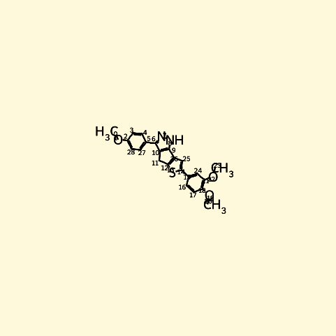 COc1ccc(-c2n[nH]c3c2Cc2sc(-c4ccc(OC)c(OC)c4)cc2-3)cc1